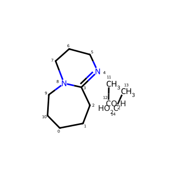 C1CCC2=NCCCN2CC1.CC(=O)O.CC(=O)O